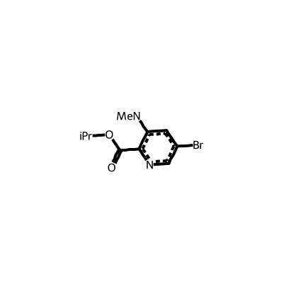 CNc1cc(Br)cnc1C(=O)OC(C)C